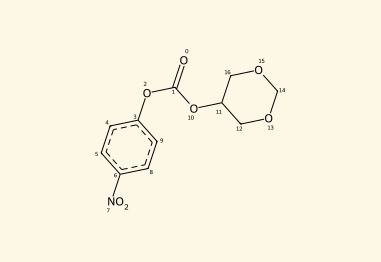 O=C(Oc1ccc([N+](=O)[O-])cc1)OC1COCOC1